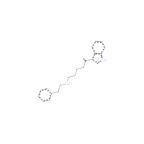 O=C(CCCCNCCc1ccccc1)c1c[nH]c2ccccc12